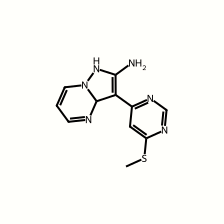 CSc1cc(C2=C(N)NN3C=CC=NC23)ncn1